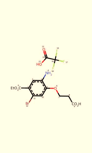 CCOC(=O)c1cc(N)c(OCCC(=O)O)cc1Br.O=C(O)C(F)(F)F